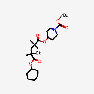 CCCCOC(=O)N1CCC(OC(=O)C(C)(C)CC(C)(CC)C(=O)OC2CCCCC2)CC1